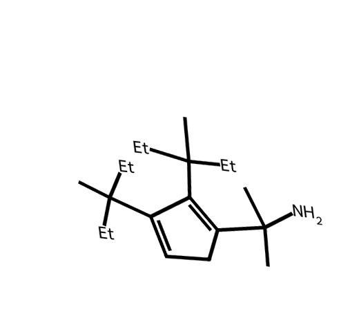 CCC(C)(CC)C1=CCC(C(C)(C)N)=C1C(C)(CC)CC